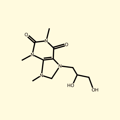 CN1CN(CC(O)CO)c2c1n(C)c(=O)n(C)c2=O